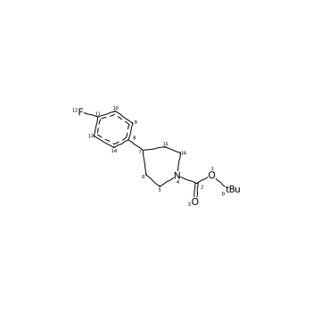 CC(C)(C)OC(=O)N1CCC(c2ccc(F)cc2)CC1